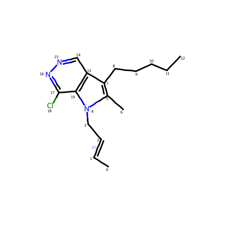 C/C=C/Cn1c(C)c(CCCCC)c2cnnc(Cl)c21